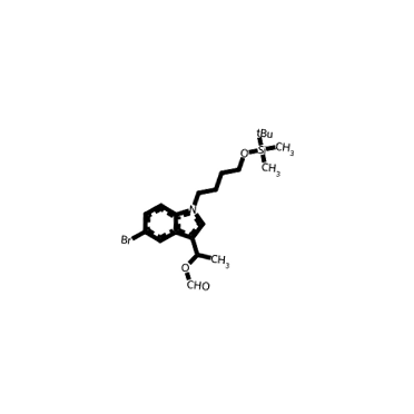 CC(OC=O)c1cn(CCCCO[Si](C)(C)C(C)(C)C)c2ccc(Br)cc12